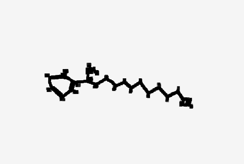 CCCCCCCCCCCC(N)c1ccccn1